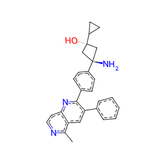 Cc1nccc2nc(-c3ccc([C@]4(N)C[C@@](O)(C5CC5)C4)cc3)c(-c3ccccc3)cc12